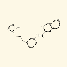 Cn1ccnc1SCCc1cccc(NC(=O)c2cc3ccccc3cn2)c1